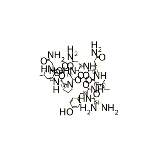 CC[C@H](C)[C@H](NC(=O)[C@H](Cc1ccc(O)cc1)NC(=O)[C@@H](N)CN)C(=O)N[C@@H](CCC(N)=O)C(=O)N[C@@H](CC(N)=O)C(=O)N[C@@H](CC(=O)O)C(=O)N1CCC[C@H]1C(=O)N[C@@H](CC(C)C)C(=O)NCC(N)=O